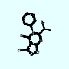 CC(Br)c1nc2onc(Cl)c2c(=O)n1-c1ccccc1